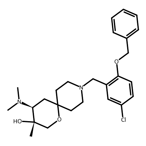 CN(C)[C@H]1CC2(CCN(Cc3cc(Cl)ccc3OCc3ccccc3)CC2)OC[C@]1(C)O